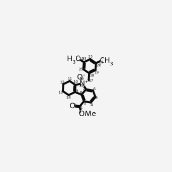 COC(=O)c1cccc2c1C1=C(CCCC1)[N+]2([O-])Cc1cc(C)cc(C)c1